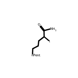 CCCCCCCCC(I)C(N)=O